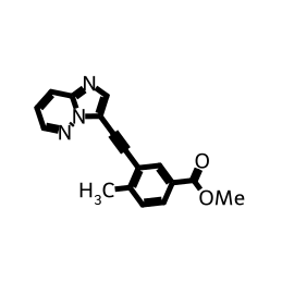 COC(=O)c1ccc(C)c(C#Cc2cnc3cccnn23)c1